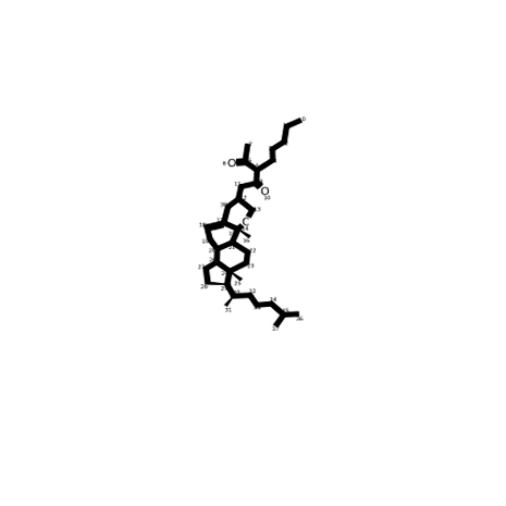 CCCCCC(C(C)=O)C(=O)CC1CC[C@@]2(C)C(=CCC3C2CC[C@@]2(C)C3CC[C@@H]2[C@H](C)CCCC(C)C)C1